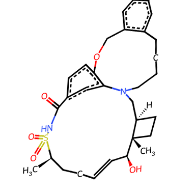 C[C@@H]1CC/C=C/[C@H](O)[C@@]2(C)CC[C@@H]2CN2CCCCc3cc(Cl)ccc3COc3ccc(cc32)C(=O)NS1(=O)=O